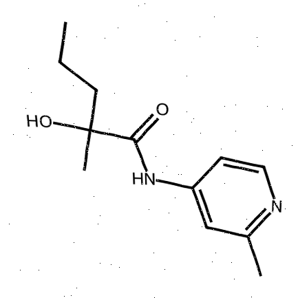 CCCC(C)(O)C(=O)Nc1ccnc(C)c1